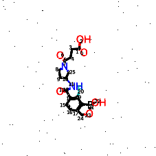 O=C(O)CCC(=O)N1CC[C@H](NC(=O)c2ccc3c(c2F)B(O)OC3)C1